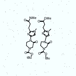 CNC(=O)CCc1nc(N2CCN(C(=O)OC(C)(C)C)CC2=O)cn1C.COC(=O)CCc1nc(N2CCN(C(=O)OC(C)(C)C)CC2=O)cn1C